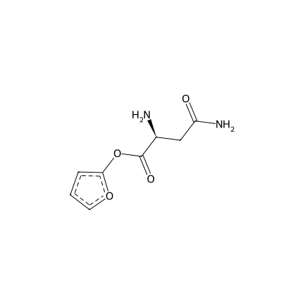 NC(=O)C[C@H](N)C(=O)Oc1ccco1